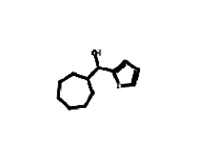 OC(c1ccco1)C1CCCCCC1